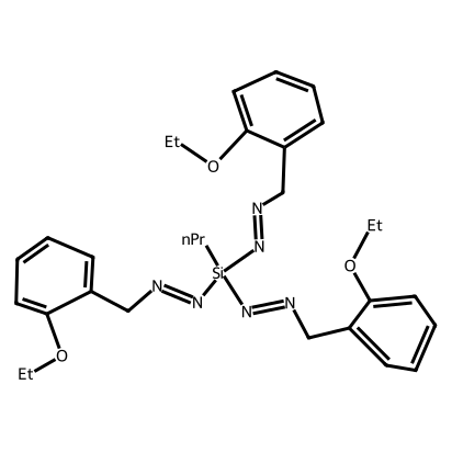 CCC[Si](N=NCc1ccccc1OCC)(N=NCc1ccccc1OCC)N=NCc1ccccc1OCC